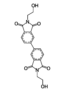 O=C1c2ccc(-c3ccc4c(c3)C(=O)N(CCO)C4=O)cc2C(=O)N1CCO